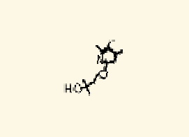 [CH2]c1c(C)cc(OCCC(C)(C)O)nc1C